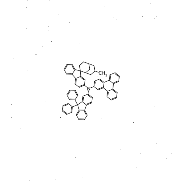 CC1CC2CCC3(c4ccccc4-c4ccc(N(c5ccc6c(c5)C(c5ccccc5)(c5ccccc5)c5ccccc5-6)c5ccc6c7ccccc7c7ccccc7c6c5)cc43)C(C1)C2